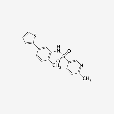 Cc1ccc(S(=O)(=O)Nc2cc(-c3cccs3)ccc2C)cn1